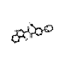 N#Cc1cc(N2C3CCC2CC3)ccc1NC(=O)c1c[nH]c2ccccc2c1=O